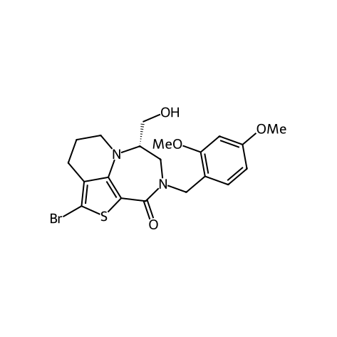 COc1ccc(CN2C[C@@H](CO)N3CCCc4c(Br)sc(c43)C2=O)c(OC)c1